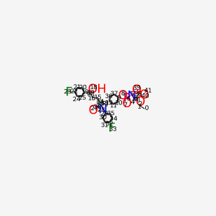 CCO[C@@](C)(N=[P+]([O-])Oc1ccc([C@H]2[C@H](CC[C@@H](O)c3ccc(F)cc3)C(=O)N2c2ccc(F)cc2)cc1)C(=O)OC